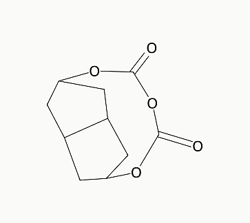 O=C1OC(=O)OC2CC3CC(CC3C2)O1